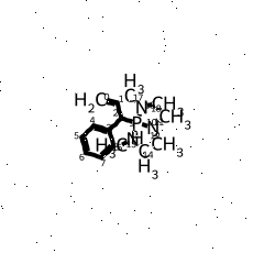 C=CC(c1ccccc1)[PH](N(C)C)(N(C)C)N(C)C